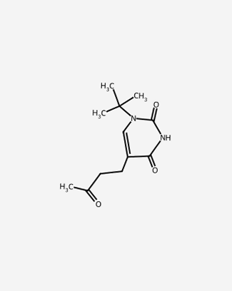 CC(=O)CCc1cn(C(C)(C)C)c(=O)[nH]c1=O